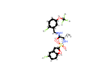 C[C@H](NS(=O)(=O)c1cc2cc(F)ccc2o1)C(=O)NCc1cc(OC(F)(F)F)ccc1F